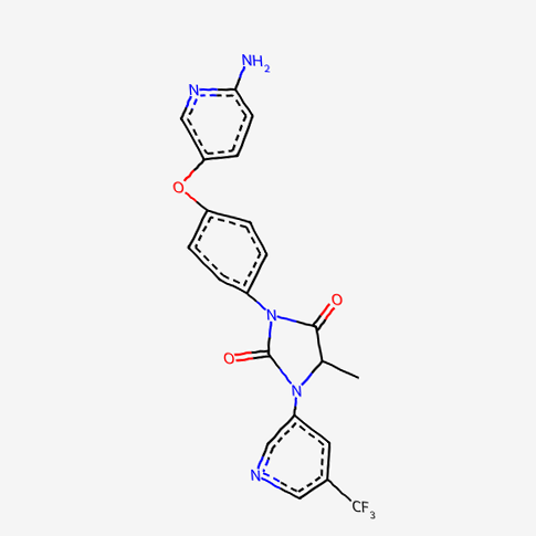 CC1C(=O)N(c2ccc(Oc3ccc(N)nc3)cc2)C(=O)N1c1cncc(C(F)(F)F)c1